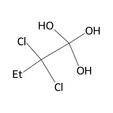 CCC(Cl)(Cl)C(O)(O)O